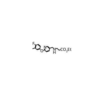 CCOC(=O)CCNCc1ccc(Oc2ccc(F)c(C)c2)nc1